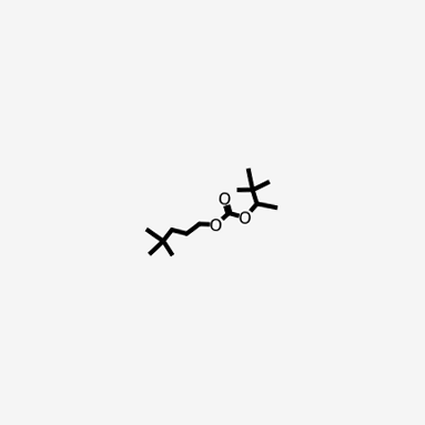 CC(OC(=O)OCCCC(C)(C)C)C(C)(C)C